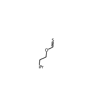 CC(C)CCOC=S